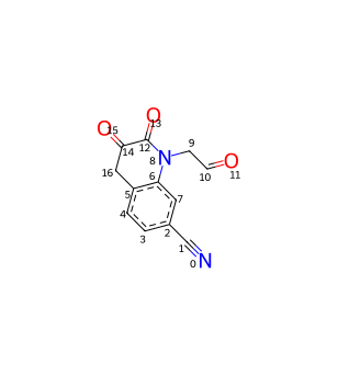 N#Cc1ccc2c(c1)N(CC=O)C(=O)C(=O)C2